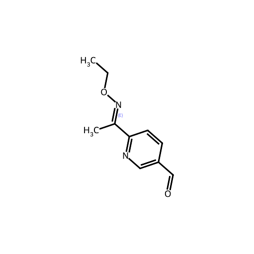 CCO/N=C(\C)c1ccc(C=O)cn1